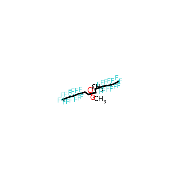 COC(CCC(F)(F)C(F)(F)C(F)(F)C(F)(F)C(F)(F)C(F)(F)F)(CCC(F)(F)C(F)(F)C(F)(F)C(F)(F)C(F)(F)C(F)(F)F)OC